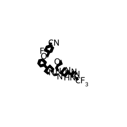 N#Cc1ccc(COc2cccc(C3=CCN(Cc4nc5cc(-c6nnc(C(F)(F)F)[nH]6)ncc5n4CC4CCO4)CC3)c2)c(F)c1